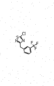 FC(F)(F)c1cccc(Cc2nsc(Cl)n2)c1